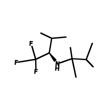 CC(C)[C@@H](NC(C)(C)C(C)C)C(F)(F)F